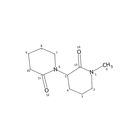 CN1CCCC(N2C[CH]CCC2=O)C1=O